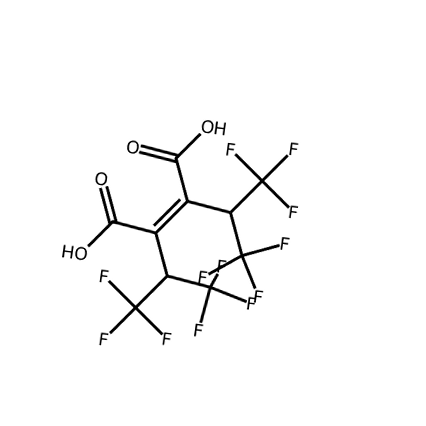 O=C(O)/C(=C(\C(=O)O)C(C(F)(F)F)C(F)(F)F)C(C(F)(F)F)C(F)(F)F